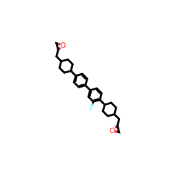 Fc1cc(-c2ccc(C3CCC(CC4CO4)CC3)cc2)ccc1C1CCC(CC2CO2)CC1